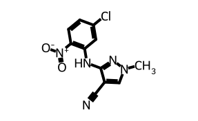 Cn1cc(C#N)c(Nc2cc(Cl)ccc2[N+](=O)[O-])n1